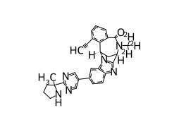 [2H]C([2H])([2H])N1C(=O)c2cccc(C#C)c2[C@H]2C[C@@H]1c1nc3ccc(-c4cnc(C5(C)CCCN5)nc4)cc3n12